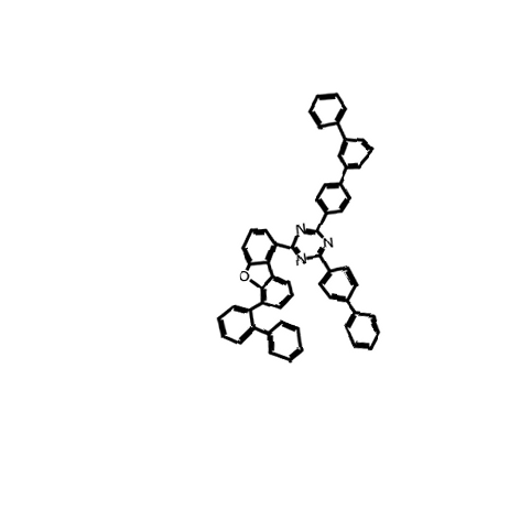 c1ccc(-c2ccc(-c3nc(-c4ccc(-c5cccc(-c6ccccc6)c5)cc4)nc(-c4cccc5oc6c(-c7ccccc7-c7ccccc7)cccc6c45)n3)cc2)cc1